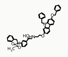 CS(=O)(=O)N(Cc1ccccc1)c1cccc([C@@H](O)CNCCOc2ccc3c4ccc(OCc5ccccc5)cc4n(Cc4ccccc4)c3c2)c1